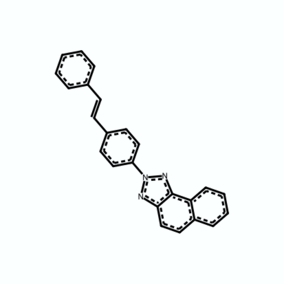 C(=Cc1ccc(-n2nc3ccc4ccccc4c3n2)cc1)c1ccccc1